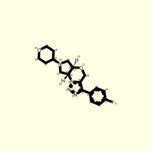 Fc1ccc(-c2nnn3c2CO[C@@H]2CN(C4CCOCC4)C[C@H]23)cc1